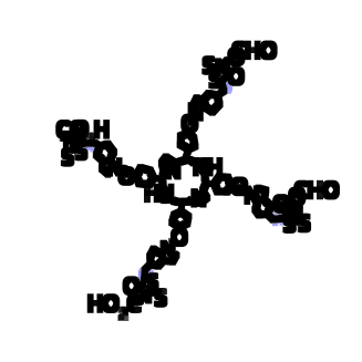 O=COCN1C(=O)/C(=C/c2ccc3c(ccn3COc3ccc(-c4c5nc(c(-c6ccc(OCn7ccc8cc(/C=C9\SC(=S)N(CC(=O)O)C9=O)ccc87)cc6)c6ccc([nH]6)c(-c6ccc(OCn7ccc8cc(/C=C9\SC(=S)N(CC(=O)O)C9=O)ccc87)cc6)c6nc(c(-c7ccc(OCn8ccc9cc(/C=C%10/SC(=S)N(COC=O)C%10=O)ccc98)cc7)c7ccc4[nH]7)C=C6)C=C5)cc3)c2)SC1=S